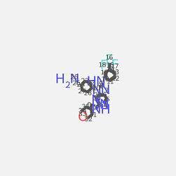 CC1(Nc2ncc3nc(Nc4cccc(C(F)(F)F)c4)n([C@H]4CC[C@@H](CN)CC4)c3n2)CCOCC1